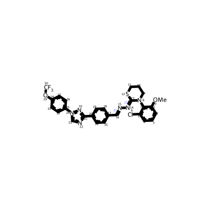 COc1cccc(Cl)c1N1CCCS/C1=N\N=C\c1ccc(-c2ncn(-c3ccc(OC(F)(F)F)cc3)n2)cc1